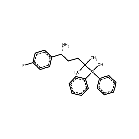 CC(C)(CC[C@@H](N)c1ccc(F)cc1)[Si](O)(c1ccccc1)c1ccccc1